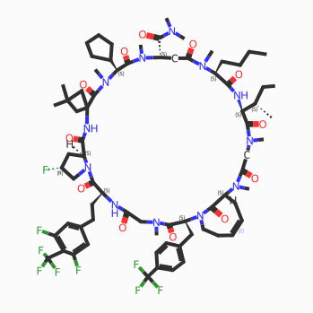 CCCC[C@H]1C(=O)N[C@@H]([C@@H](C)CC)C(=O)N(C)CC(=O)N(C)[C@H]2C/C=C\CCN(C2=O)[C@@H](Cc2ccc(C(F)(F)F)cc2)C(=O)N(C)CC(=O)N[C@@H](CCc2cc(F)c(C(F)(F)F)c(F)c2)C(=O)N2C[C@H](F)C[C@H]2C(=O)NC2(CC(C)(C)C2)C(=O)N(C)[C@@H](C2CCCC2)C(=O)N(C)[C@H](C(=O)N(C)C)CC(=O)N1C